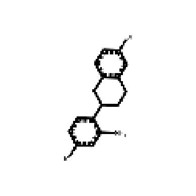 Nc1cc(O)ccc1C1CCc2cc(O)ccc2C1